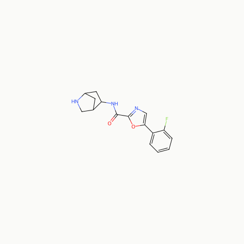 O=C(NC1CC2CC1CN2)c1ncc(-c2ccccc2F)o1